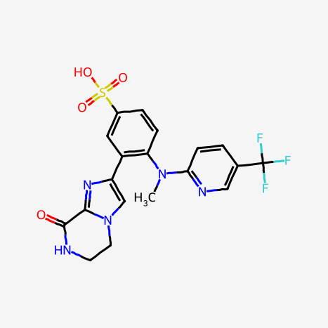 CN(c1ccc(C(F)(F)F)cn1)c1ccc(S(=O)(=O)O)cc1-c1cn2c(n1)C(=O)NCC2